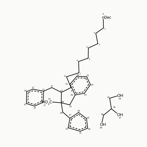 CCCCCCCCCCCCCCCCCCCC(Cc1ccccc1)C(Cc1ccccc1)(Cc1ccccc1)C(=O)O.OCC(O)CO